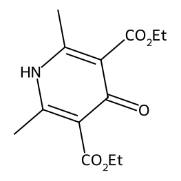 CCOC(=O)c1c(C)[nH]c(C)c(C(=O)OCC)c1=O